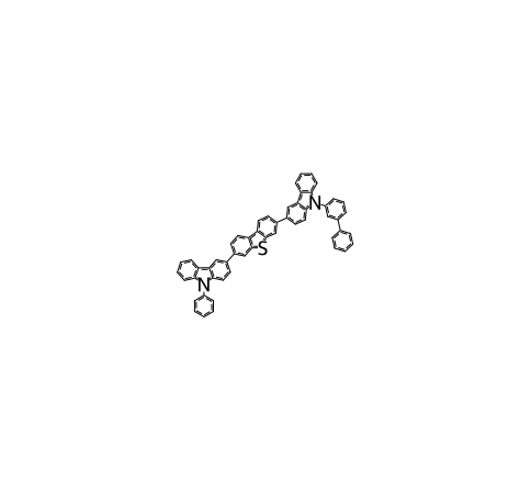 c1ccc(-c2cccc(-n3c4ccccc4c4cc(-c5ccc6c(c5)sc5cc(-c7ccc8c(c7)c7ccccc7n8-c7ccccc7)ccc56)ccc43)c2)cc1